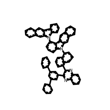 c1ccc(-c2cc(-c3ccccc3)cc(-c3nc4ccccc4nc3-c3cccc4c(-n5c6cc7ccccc7cc6c6c(-n7c8ccccc8c8cc9ccccc9cc87)cccc65)cccc34)c2)cc1